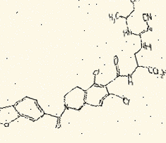 CC(CO)N/C(=N\C#N)NCC(NC(=O)c1c(Cl)cc2c(c1Cl)CCN(C(=O)c1ccc3ccoc3c1)C2)C(=O)O